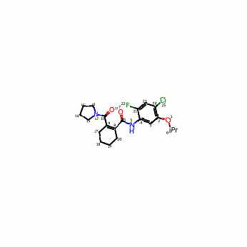 CC(C)Oc1cc(NC(=O)C2=C(C(=O)N3CCCC3)CCCC2)c(F)cc1Cl